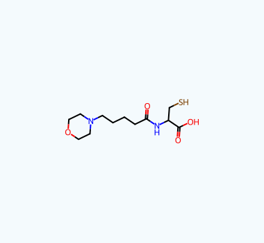 O=C(CCCCN1CCOCC1)NC(CS)C(=O)O